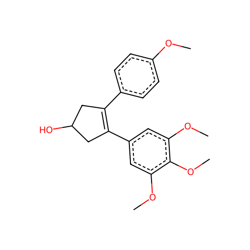 COc1ccc(C2=C(c3cc(OC)c(OC)c(OC)c3)CC(O)C2)cc1